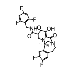 C[C@]12CN(CCc3cc(F)c(F)cc31)C(=O)c1c(O)c(=O)c(C(=O)NCc3c(F)cc(F)cc3F)cn12